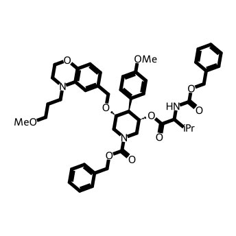 COCCCN1CCOc2ccc(CO[C@H]3CN(C(=O)OCc4ccccc4)C[C@@H](OC(=O)C(NC(=O)OCc4ccccc4)C(C)C)[C@@H]3c3ccc(OC)cc3)cc21